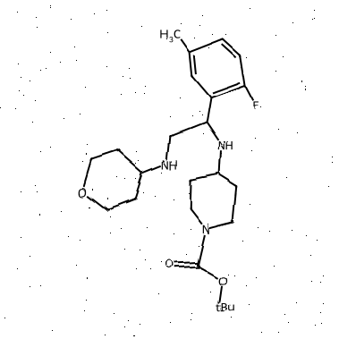 Cc1ccc(F)c(C(CNC2CCOCC2)NC2CCN(C(=O)OC(C)(C)C)CC2)c1